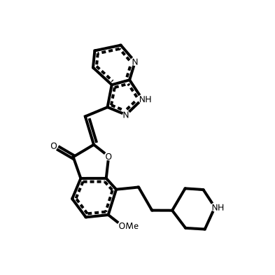 COc1ccc2c(c1CCC1CCNCC1)O/C(=C\c1n[nH]c3ncccc13)C2=O